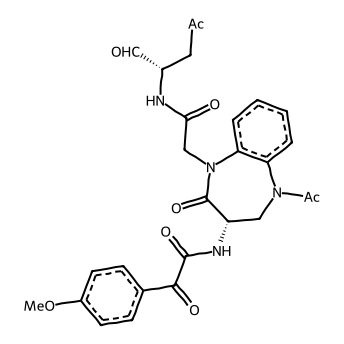 COc1ccc(C(=O)C(=O)N[C@H]2CN(C(C)=O)c3ccccc3N(CC(=O)N[C@H](C=O)CC(C)=O)C2=O)cc1